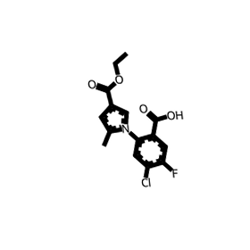 CCOC(=O)c1cc(C)n(-c2cc(Cl)c(F)cc2C(=O)O)c1